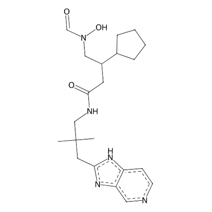 CC(C)(CNC(=O)CC(CN(O)C=O)C1CCCC1)Cc1nc2cnccc2[nH]1